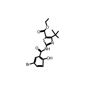 CCOC(=O)c1sc(NC(=O)c2cc(Br)ccc2O)nc1C(C)(C)C